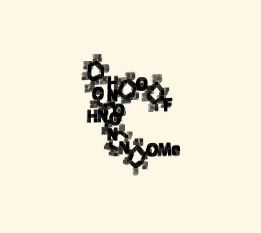 COc1cccc(N2CCN(CC(=O)NC(COCc3ccccc3)C(=O)Nc3ccc(Oc4ccc(F)cc4)cc3)CC2)c1